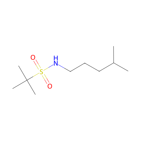 CC(C)CCCNS(=O)(=O)C(C)(C)C